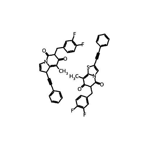 CC1=C2C(C#Cc3ccccc3)C=CN2C(=O)C(Cc2ccc(F)c(F)c2)C1=O.CC1=C2SC(C#Cc3ccccc3)=CN2C(=O)C(Cc2ccc(F)c(F)c2)C1=O